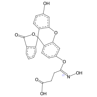 O=C(O)CC/C(=N/O)Oc1ccc2c(c1)Oc1cc(O)ccc1C21OC(=O)c2ccccc21